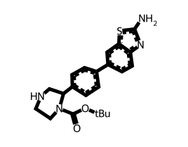 CC(C)(C)OC(=O)N1CCNCC1c1ccc(-c2ccc3nc(N)sc3c2)cc1